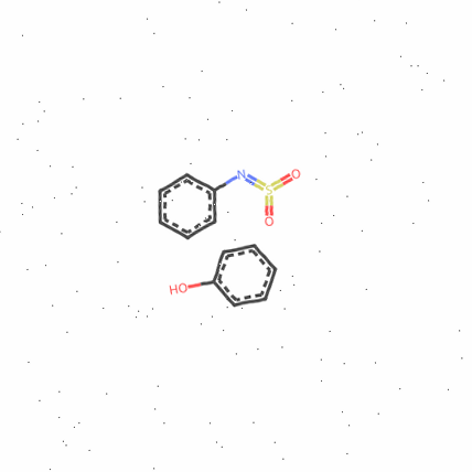 O=S(=O)=Nc1ccccc1.Oc1ccccc1